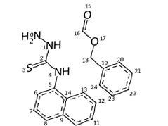 NNC(=S)Nc1cccc2ccccc12.O=COCc1ccccc1